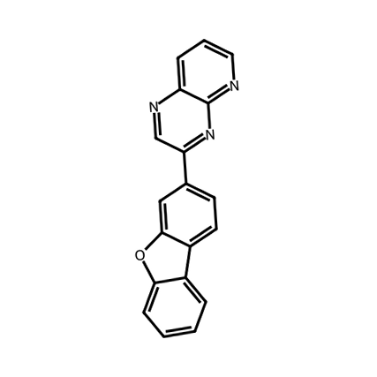 c1cnc2nc(-c3ccc4c(c3)oc3ccccc34)cnc2c1